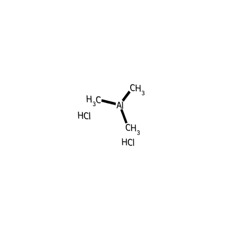 Cl.Cl.[CH3][Al]([CH3])[CH3]